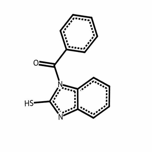 O=C(c1ccccc1)n1c(S)nc2ccccc21